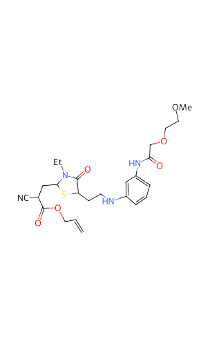 C=CCOC(=O)C(C#N)CC1SC(CCNc2cccc(NC(=O)COCCOC)c2)C(=O)N1CC